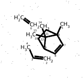 C=C.C=CC.CC12C=CC(CC1)C2(C)C